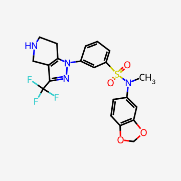 CN(c1ccc2c(c1)OCO2)S(=O)(=O)c1cccc(-n2nc(C(F)(F)F)c3c2CCNC3)c1